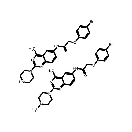 Cc1nc(N2CCN(C)CC2)nc2ccc(NC(=O)COc3ccc(Br)cc3)cc12.Cc1nc(N2CCNCC2)nc2ccc(NC(=O)COc3ccc(Br)cc3)cc12